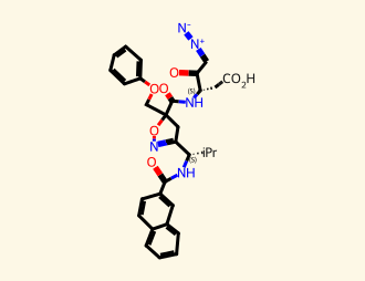 CC(C)[C@H](NC(=O)c1ccc2ccccc2c1)C1=NOC(COc2ccccc2)(C(=O)N[C@@H](CC(=O)O)C(=O)C=[N+]=[N-])C1